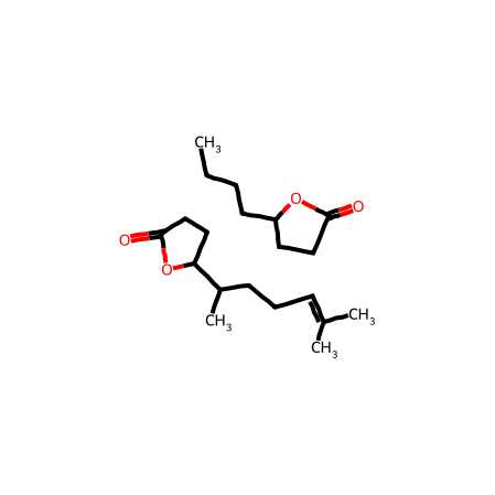 CC(C)=CCCC(C)C1CCC(=O)O1.CCCCC1CCC(=O)O1